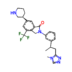 CC(Cc1nncn1C)c1cccc(N2Cc3c(cc([C@@H]4CCCNC4)cc3C(F)(F)F)C2=O)c1